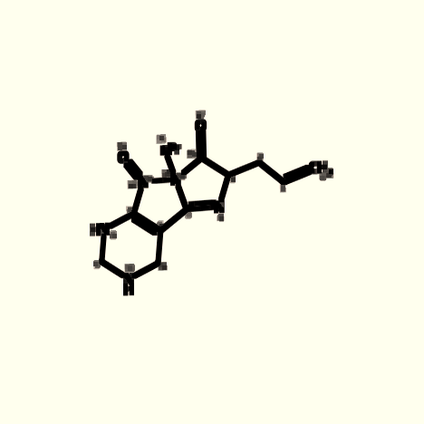 C=CCC1N=C2C3=C(NCNC3)[N+](=O)[N+]2(CCC)C1=O